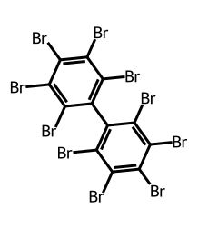 Brc1c(Br)c(Br)c(-c2c(Br)c(Br)c(Br)c(Br)c2Br)c(Br)c1Br